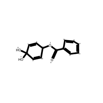 O=C(OC1C=CC(O)(O)C=C1)c1ccccc1